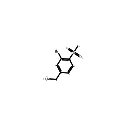 CS(=O)(=O)c1ccc(CN)cc1Br